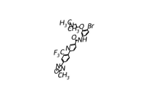 Cc1nc(-c2ccc(-c3ccc(C(=O)Nc4ccc(Br)c(OCCN(C)C)c4)cn3)c(C(F)(F)F)c2)no1